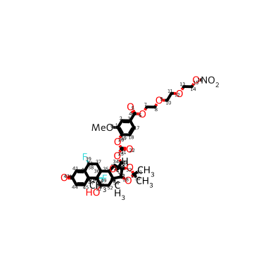 COc1cc(C(=O)OCCOCCOCCO[N+](=O)[O-])ccc1OC(=O)OCC(=O)[C@@]12OC(C)(C)O[C@@H]1CC1C3C[C@H](F)C4=CC(=O)C=C[C@]4(C)[C@@]3(F)[C@@H](O)C[C@@]12C